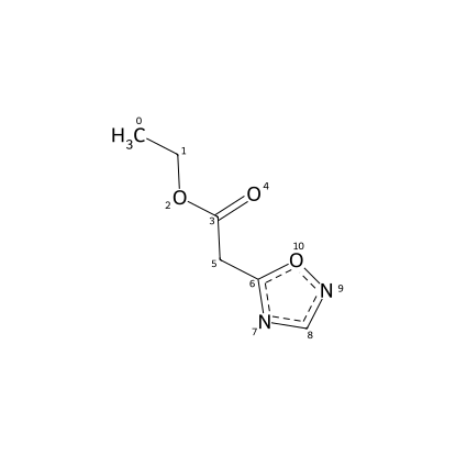 CCOC(=O)Cc1ncno1